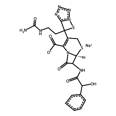 NC(=O)NCCC1(C2=C(C(=O)[O-])N3C(=O)C(NC(=O)C(O)c4ccccc4)[C@@H]3SC2)Sn2nnnc21.[Na+]